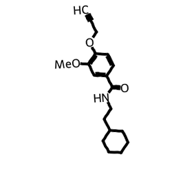 C#CCOc1ccc(C(=O)NCCC2CCCCC2)cc1OC